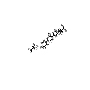 C=C(C)C(=O)OCCc1ccc(-c2ccc(-c3ccc(OC(=O)C(=C)C)cc3)c(F)c2)cc1